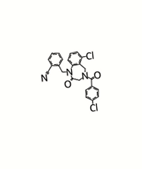 N#Cc1ccccc1CN1C(=O)CN(C(=O)c2ccc(Cl)cc2)Cc2c(Cl)cccc21